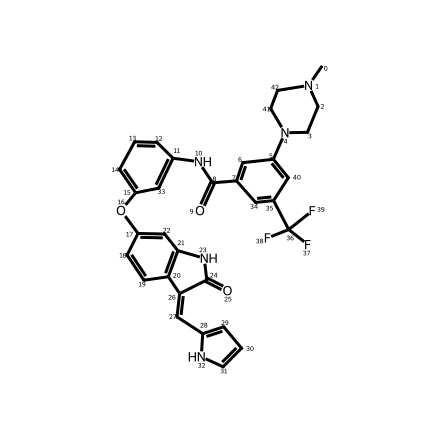 CN1CCN(c2cc(C(=O)Nc3cccc(Oc4ccc5c(c4)NC(=O)/C5=C\c4ccc[nH]4)c3)cc(C(F)(F)F)c2)CC1